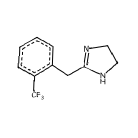 FC(F)(F)c1ccccc1CC1=NCCN1